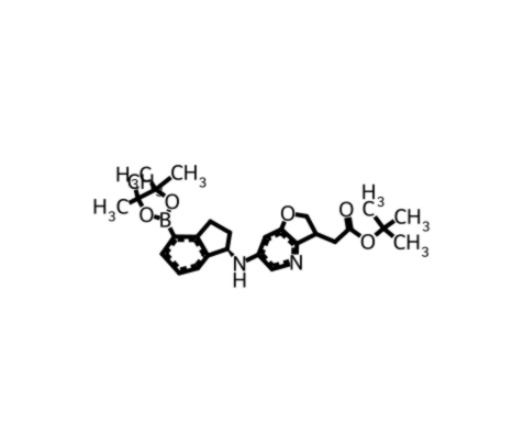 CC(C)(C)OC(=O)CC1COc2cc(N[C@@H]3CCc4c(B5OC(C)(C)C(C)(C)O5)cccc43)cnc21